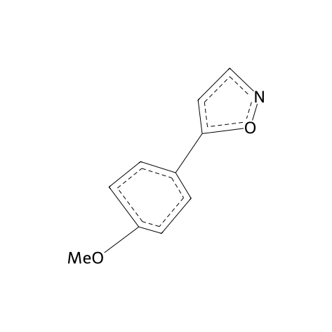 COc1ccc(-c2ccno2)cc1